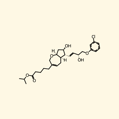 CC(C)OC(=O)CCCCC1=CC[C@@H]2[C@@H](/C=C/[C@@H](O)COc3cccc(Cl)c3)[C@H](O)C[C@@H]2OC1